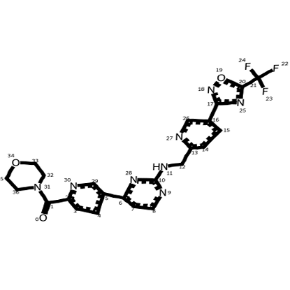 O=C(c1ccc(-c2ccnc(NCc3ccc(-c4noc(C(F)(F)F)n4)cn3)n2)cn1)N1CCOCC1